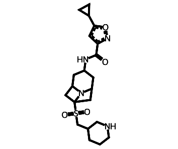 O=C(NC1CC2CC3(S(=O)(=O)CC4CCCNC4)CC(C1)N23)c1cc(C2CC2)on1